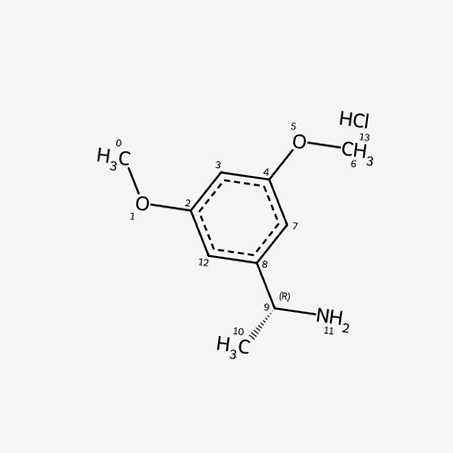 COc1cc(OC)cc([C@@H](C)N)c1.Cl